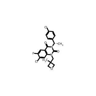 C[C@@H](c1ccc(Cl)cc1)n1c(=O)c2cc(F)c(Cl)cc2n(CC2(C)COC2)c1=O